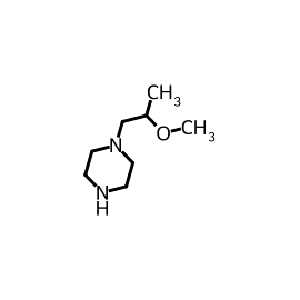 COC(C)CN1CCNCC1